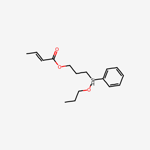 CC=CC(=O)OCCC[SiH](OCCC)c1ccccc1